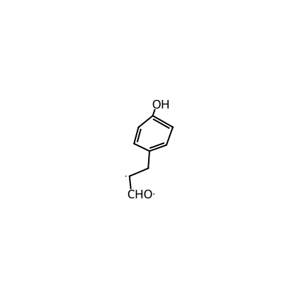 O=[C][CH]Cc1ccc(O)cc1